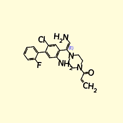 C=CC(=O)N1CCN(/C(=C/N)c2cc(Cl)c(-c3ccccc3F)cc2N)CC1